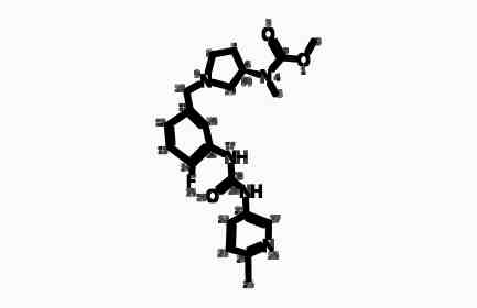 COC(=O)N(C)[C@@H]1CCN(Cc2ccc(F)c(NC(=O)Nc3ccc(C)nc3)c2)C1